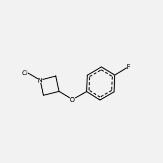 Fc1ccc(OC2CN(Cl)C2)cc1